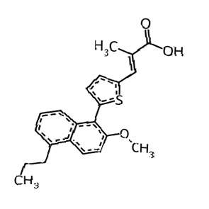 CCCc1cccc2c(-c3ccc(/C=C(\C)C(=O)O)s3)c(OC)ccc12